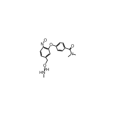 CNPOCc1ccc(N=O)c(Oc2ccc(C(=O)N(C)C)cc2)c1